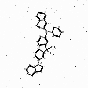 CC1(C)c2cc(N(c3ccc4ccccc4c3)C3C=CC=CC3)ccc2-c2ccc(-n3ccc4ccccc43)cc21